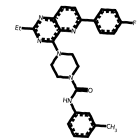 CCc1nc(N2CCN(C(=O)Nc3cccc(C)c3)CC2)c2nc(-c3ccc(F)cc3)ccc2n1